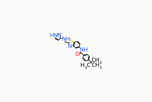 CC(C)(C)c1ccc(C(=O)Nc2ccc3sc(CNc4cc[nH]n4)nc3c2)cc1